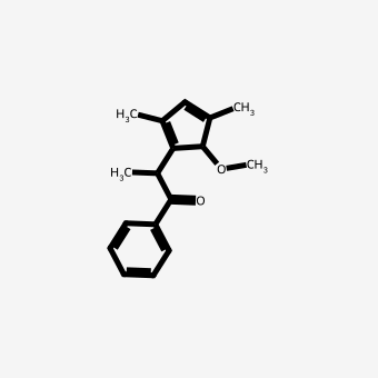 COC1C(C)=CC(C)=C1C(C)C(=O)c1ccccc1